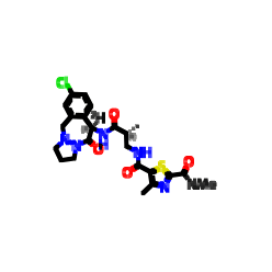 [2H][C@]1(NC(=O)[C@H](C)CNC(=O)c2sc(C(=O)NC)nc2C)C(=O)N2CCCN2Cc2cc(Cl)ccc21